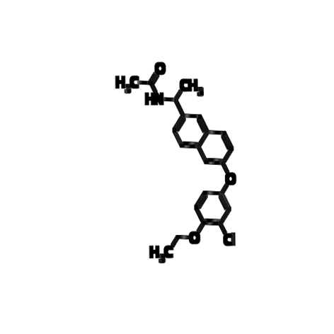 CCOc1ccc(Oc2ccc3cc(C(C)NC(C)=O)ccc3c2)cc1Cl